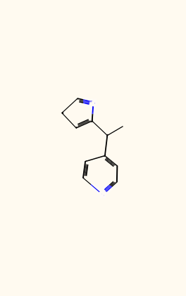 CC(C1=CCC=N1)c1ccncc1